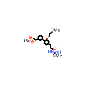 CNC(=N)NC(=O)CCc1ccc(-c2cccc(CCS(=O)(=O)C(C)(C)C)c2)c(OCCCOC)c1